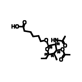 CC[C@H]1O[C@@H](OCCCCCC(=O)O)[C@H](NC(C)=O)[C@@H](OC(C)=O)[C@H]1C